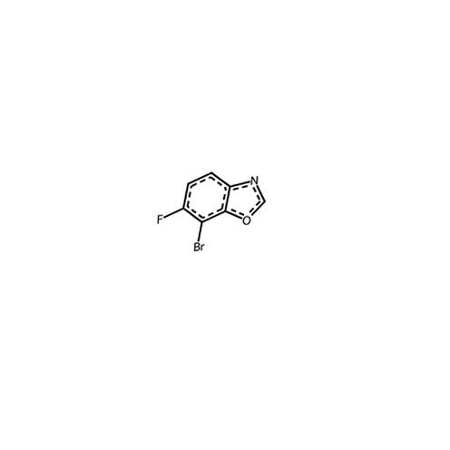 Fc1ccc2ncoc2c1Br